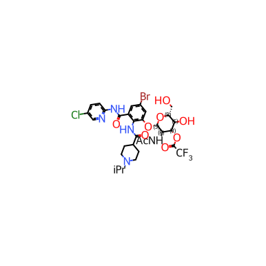 CC(=O)N[C@H]1[C@H](Oc2cc(Br)cc(C(=O)Nc3ccc(Cl)cn3)c2NC(=O)C2CCN(C(C)C)CC2)O[C@H](CO)[C@@H](O)[C@@H]1OC(=O)C(F)(F)F